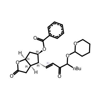 CCCCC(OC1CCCCO1)C(=O)/C=C/[C@@H]1[C@H]2CC(=O)O[C@H]2C[C@H]1OC(=O)c1ccccc1